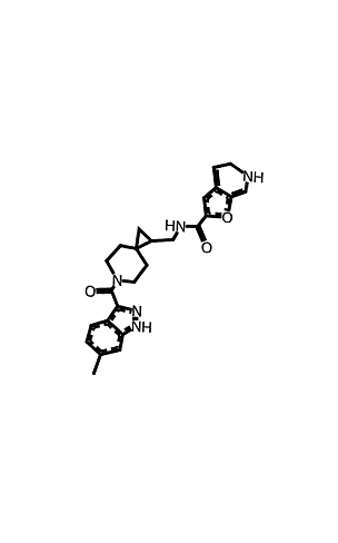 Cc1ccc2c(C(=O)N3CCC4(CC3)CC4CNC(=O)c3cc4c(o3)=CNCC=4)n[nH]c2c1